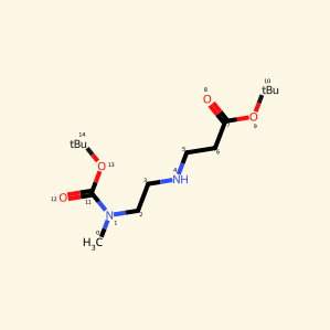 CN(CCNCCC(=O)OC(C)(C)C)C(=O)OC(C)(C)C